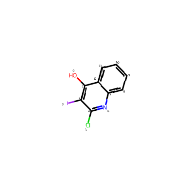 Oc1c(I)c(Cl)nc2ccccc12